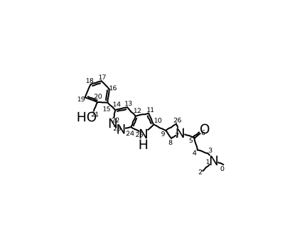 CN(C)CCC(=O)N1CC(c2cc3cc(-c4ccccc4O)nnc3[nH]2)C1